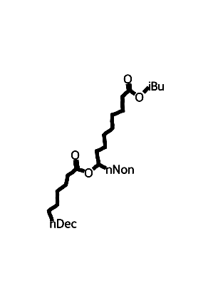 CCCCCCCCCCCCCCCC(=O)OC(CCCCCCCCC)CCCCCCCC(=O)OC(C)CC